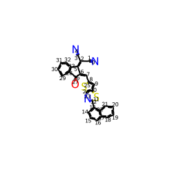 N#CC(C#N)=C1/C(=C/c2cc3sc(-c4cccc5ccccc45)nc3s2)C(=O)c2ccccc21